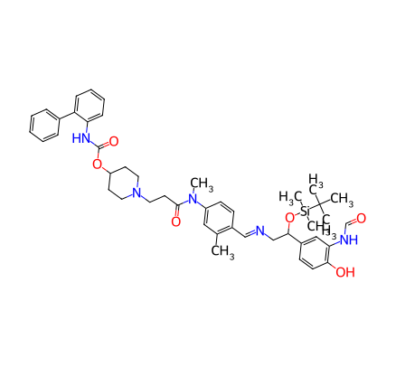 Cc1cc(N(C)C(=O)CCN2CCC(OC(=O)Nc3ccccc3-c3ccccc3)CC2)ccc1C=NCC(O[Si](C)(C)C(C)(C)C)c1ccc(O)c(NC=O)c1